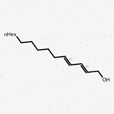 CCCCCCCCCCC/C=C/C=C/CO